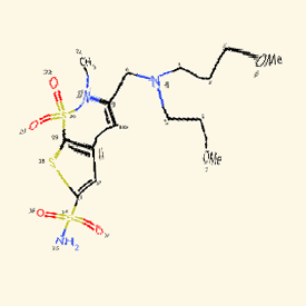 COCCCN(CCOC)CC1=Cc2cc(S(N)(=O)=O)sc2S(=O)(=O)N1C